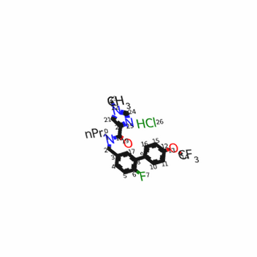 CCCN(Cc1ccc(F)c(-c2ccc(OC(F)(F)F)cc2)c1)C(=O)c1cn(C)cn1.Cl